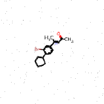 CC(=O)/C=C(\C)c1ccc(C2CCCCC2)c(Br)c1